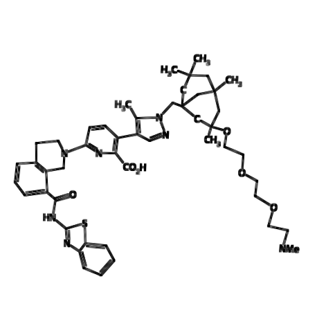 CNCCOCCOCCOC1(C)CC2(C)CC(C)(C)CC(Cn3ncc(-c4ccc(N5CCc6cccc(C(=O)Nc7nc8ccccc8s7)c6C5)nc4C(=O)O)c3C)(C2)C1